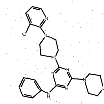 Clc1cccnc1N1CCN(c2nc(Nc3ccccc3)nc(N3CCOCC3)n2)CC1